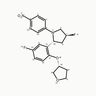 O=[N+]([O-])c1ccc(N2C[C@@H](F)C[C@@H]2c2cc(F)ccc2O[C@@H]2CCOC2)cn1